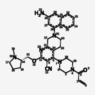 C=CC(=O)N1CCN(c2c(C#N)c(OC[C@@H]3CCCN3C)nc3c2CCN(c2cc(N)cc4ccccc24)C3)CC1